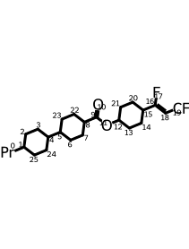 CCCC1CCC(C2CCC(C(=O)OC3CCC(/C(F)=C/C(F)(F)F)CC3)CC2)CC1